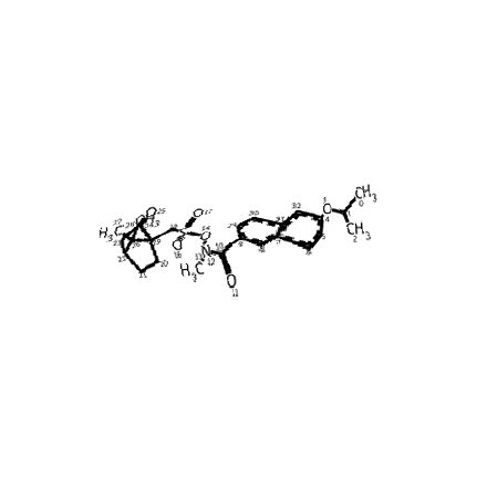 CC(C)Oc1ccc2cc(C(=O)N(C)OS(=O)(=O)CC34CCC(CC3=O)C4(C)C)ccc2c1